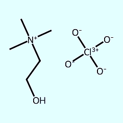 C[N+](C)(C)CCO.[O-][Cl+3]([O-])([O-])[O-]